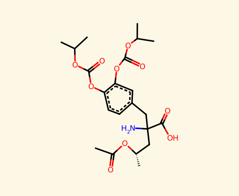 CC(=O)O[C@@H](C)CC(N)(Cc1ccc(OC(=O)OC(C)C)c(OC(=O)OC(C)C)c1)C(=O)O